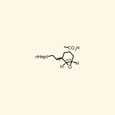 CC(=O)O.CCCCCCCC/C=C1\CCC[C@@H]2O[C@H]12